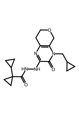 O=C(NNc1nc2c(n(CC3CC3)c1=O)COCC2)C1(C2CC2)CC1